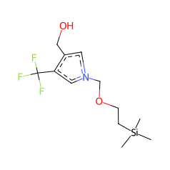 C[Si](C)(C)CCOCn1cc(CO)c(C(F)(F)F)c1